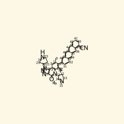 Cc1cc2c(nc(OC(C)[C@@H]3CCCN3C)c3nnn(C4CCNCC4)c32)c(F)c1-c1ccc2cc3cc4c(C#N)cccc4cc3cc2c1